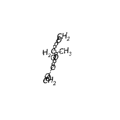 C=CC(=O)Cc1ccc2cc(C(=C)Cc3ccc(OC(=O)c4ccc5cc(OCCCCCCOC(=O)C=C)ccc5c4)cc3CCC)ccc2c1